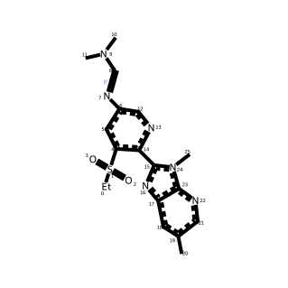 CCS(=O)(=O)c1cc(/N=C/N(C)C)cnc1-c1nc2cc(C)cnc2n1C